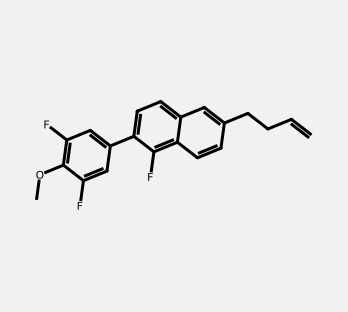 C=CCCc1ccc2c(F)c(-c3cc(F)c(OC)c(F)c3)ccc2c1